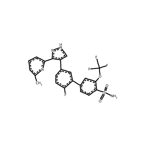 Cc1cccc(-c2n[nH]cc2-c2ccc(F)c(-c3ccc(S(N)(=O)=O)c(OC(F)(F)F)c3)c2)n1